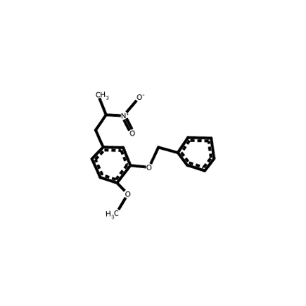 COc1ccc(CC(C)[N+](=O)[O-])cc1OCc1ccccc1